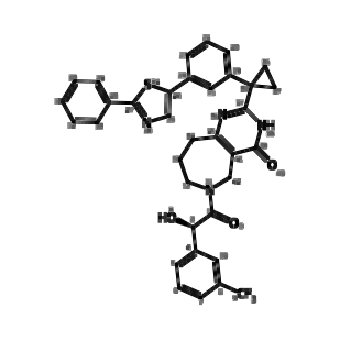 O=C([C@H](O)c1cccc(C(F)(F)F)c1)N1CCCc2nc(C3(c4cccc(-c5cnc(-c6ccccc6)s5)c4)CC3)[nH]c(=O)c2C1